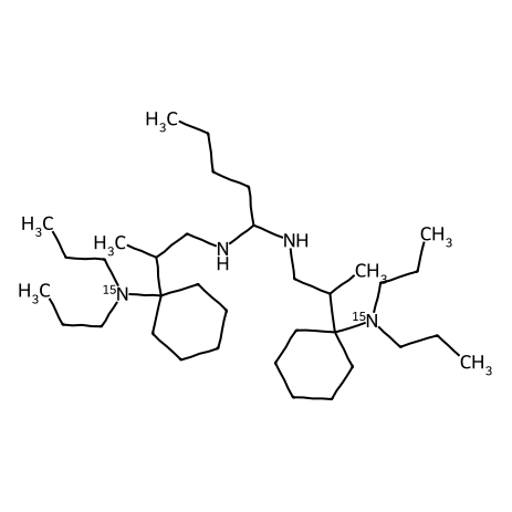 CCCCC(NCC(C)C1([15N](CCC)CCC)CCCCC1)NCC(C)C1([15N](CCC)CCC)CCCCC1